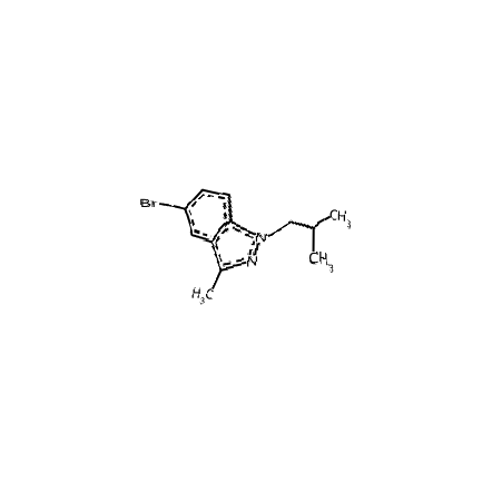 Cc1nn(CC(C)C)c2ccc(Br)cc12